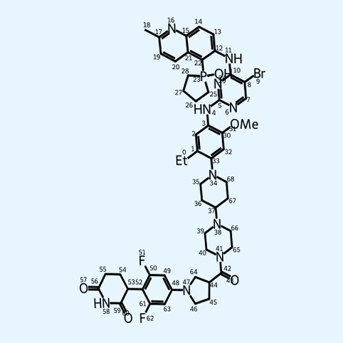 CCc1cc(Nc2ncc(Br)c(Nc3ccc4nc(C)ccc4c3[P]3(O)CCCC3)n2)c(OC)cc1N1CCC(N2CCN(C(=O)C3CCN(c4cc(F)c(C5CCC(=O)NC5=O)c(F)c4)C3)CC2)CC1